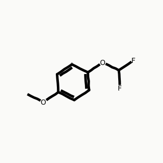 COc1c[c]c(OC(F)F)cc1